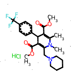 COC(=O)C1=C(C)N(C)C(CN2CCCCC2)=C(C(=O)OC)C1c1ccc(C(F)(F)F)cc1.Cl